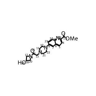 COC(=O)c1ccc2cc(N3CCN(CC(=O)N4CC(O)C4)CC3)ccc2n1